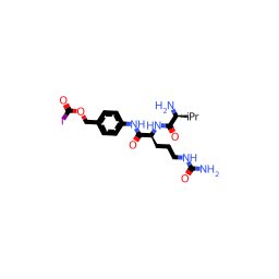 CC(C)[C@H](N)C(=O)N[C@@H](CCCNC(N)=O)C(=O)Nc1ccc(COC(=O)I)cc1